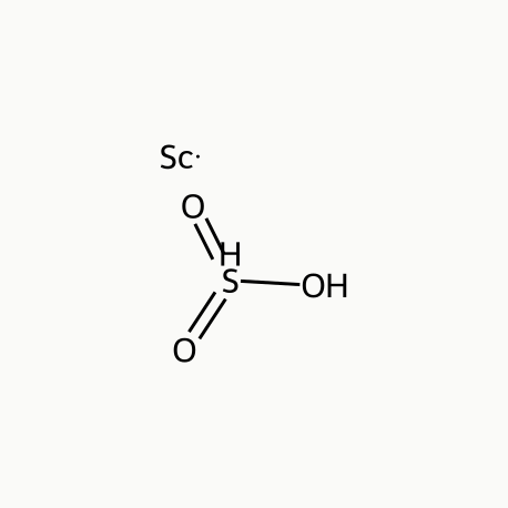 O=[SH](=O)O.[Sc]